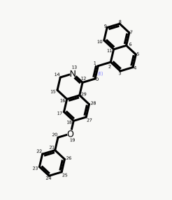 C(=C\c1cccc2ccccc12)/C1=NCCc2cc(OCc3ccccc3)ccc21